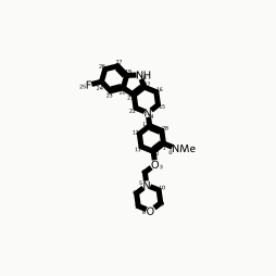 CNC1=C(OCN2CCOCC2)CCC(N2CCc3[nH]c4c(c3C2)=CC(F)CC=4)=C1